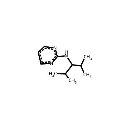 CC(C)C(Nc1ncccn1)C(C)C